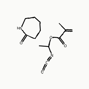 C=C(C)C(=O)OC(C)N=C=O.O=C1CCCCCN1